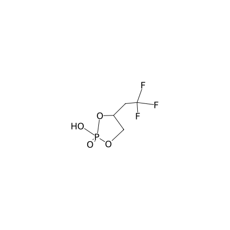 O=P1(O)OCC(CC(F)(F)F)O1